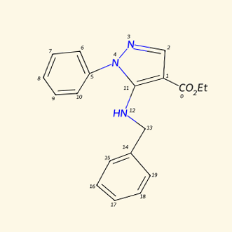 CCOC(=O)c1cnn(-c2ccccc2)c1NCc1ccccc1